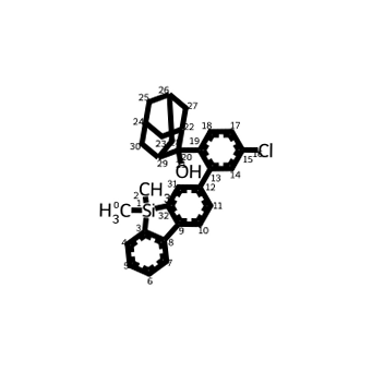 C[Si]1(C)c2ccccc2-c2ccc(-c3cc(Cl)ccc3C3(O)C4CC5CC(C4)CC3C5)cc21